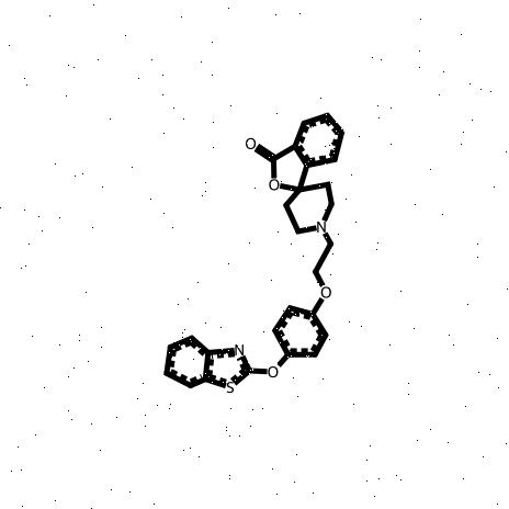 O=C1OC2(CCN(CCOc3ccc(Oc4nc5ccccc5s4)cc3)CC2)c2ccccc21